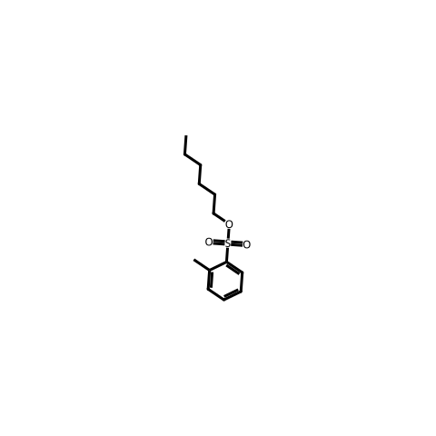 CCCCCCOS(=O)(=O)c1ccccc1C